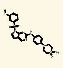 COc1cccc(S(=O)(=O)n2ccc3cnc(Nc4ccc(N5CCS(=N)(=O)CC5)cc4)nc32)c1